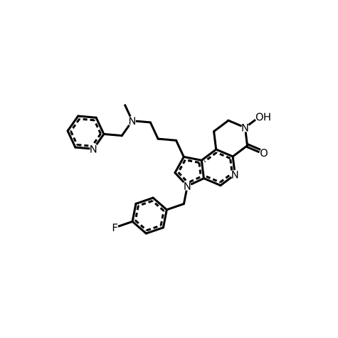 CN(CCCc1cn(Cc2ccc(F)cc2)c2cnc3c(c12)CCN(O)C3=O)Cc1ccccn1